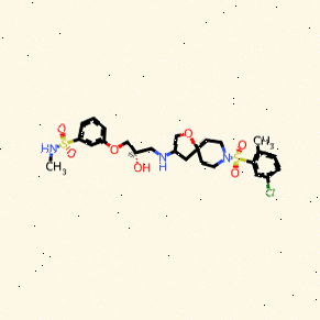 CNS(=O)(=O)c1cccc(OC[C@@H](O)CNC2COC3(CCN(S(=O)(=O)c4cc(Cl)ccc4C)CC3)C2)c1